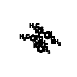 C=C1C[C@@H](c2nc3cccc(C)c3[nH]2)N(C(=O)c2nc(C)sc2-c2ccc(OC)nc2)C1